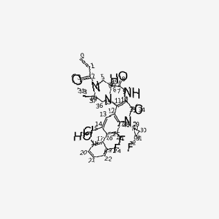 C=CC(=O)N1C[C@@H]2C(=O)Nc3c(c4cc(Cl)c(-c5c(O)cccc5F)c(F)c4n([C@@H]4C[C@@H]4F)c3=O)N2C[C@H]1C